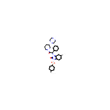 CCCN1CCN([C@@H]2CCCN(C(=O)C(c3ccccc3)n3c(=O)n(S(=O)(=O)c4ccc(OC)cc4)c4ccc(C#N)cc43)C2)CC1